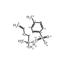 C=COC[N+](C)(C)C.Cc1ccc(S(=O)(=O)[O-])cc1